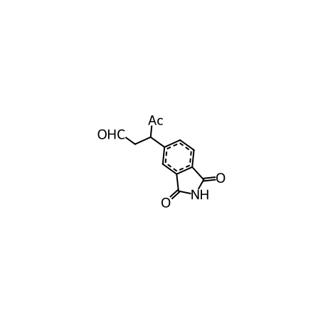 CC(=O)C(CC=O)c1ccc2c(c1)C(=O)NC2=O